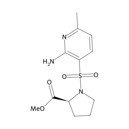 COC(=O)[C@@H]1CCCN1S(=O)(=O)c1ccc(C)nc1N